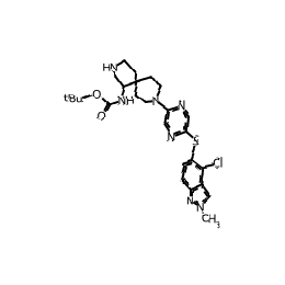 Cn1cc2c(Cl)c(Sc3cnc(N4CCC5(CCNCC5NC(=O)OC(C)(C)C)CC4)cn3)ccc2n1